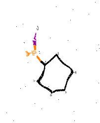 IPC1CCCCC1